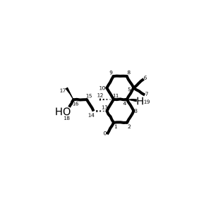 CC1CC[C@H]2C(C)(C)CCC[C@]2(C)[C@H]1CC[C@H](C)O